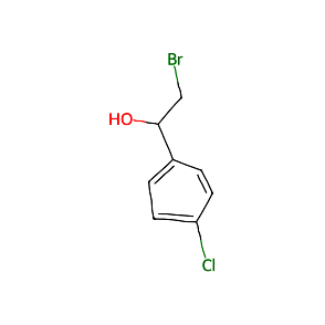 OC(CBr)c1ccc(Cl)cc1